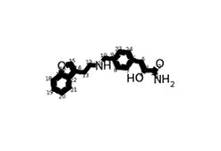 NC(=O)C(O)=Cc1ccc(CNCCc2coc3ccccc23)cc1